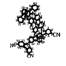 N#Cc1ccc2c(c1)c1ccccc1n2-c1cnc2c(c1)C1(c3ccc(-n4c5ccccc5c5ccccc54)cc3Oc3cc(-n4c5ccc(-n6c7ccc(C#N)cc7c7cc(C#N)ccc76)cc5c5ccncc54)ccc31)c1cc(-n3c4ccccc4c4ccccc43)cnc1-2